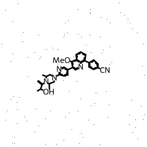 C=C(C(C)O)N1C(C)CN(c2ccc(-c3cnc4c(-c5ccc(C#N)cc5)cccc4c3OC)cn2)CC1C